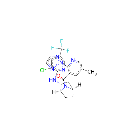 Cc1cnc(-n2nccn2)c(C(=O)N2[C@@H]3CC[C@H]2[C@H](Nc2ncc(C(F)(F)F)cc2Cl)C3)c1